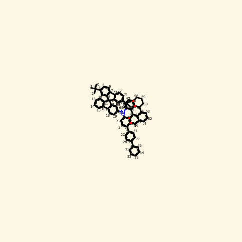 CC(C)(C)c1ccc2c(c1)C1(c3ccccc3-c3ccc(N(c4ccc(-c5ccc(-c6ccccc6)cc5)cc4)c4ccccc4-c4cccc5cccc(C6CCCCC6)c45)cc31)c1cc(C(C)(C)C)ccc1-2